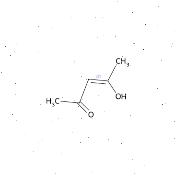 CC(=O)/[C]=C(/C)O